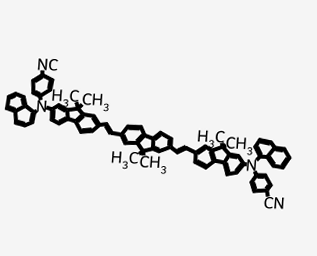 [C-]#[N+]c1ccc(N(c2ccc3c(c2)C(C)(C)c2cc(/C=C/c4ccc5c(c4)C(C)(C)c4cc(/C=C/c6ccc7c(c6)C(C)(C)c6cc(N(c8ccc(C#N)cc8)c8cccc9ccccc89)ccc6-7)ccc4-5)ccc2-3)c2cccc3ccccc23)cc1